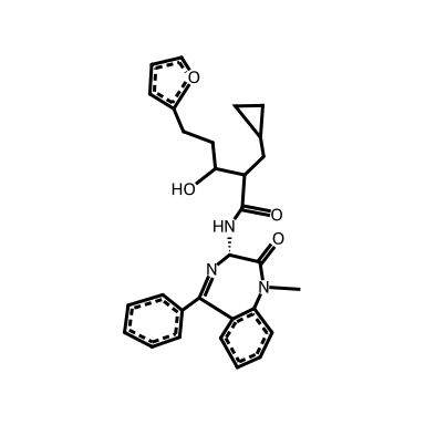 CN1C(=O)[C@@H](NC(=O)C(CC2CC2)C(O)CCc2ccco2)N=C(c2ccccc2)c2ccccc21